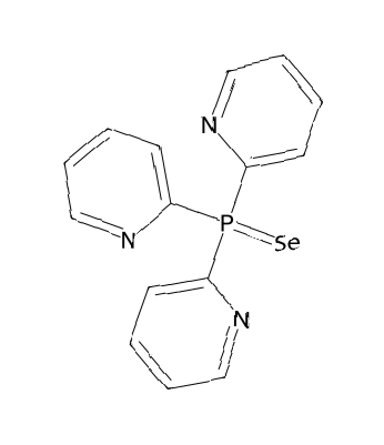 [Se]=P(c1ccccn1)(c1ccccn1)c1ccccn1